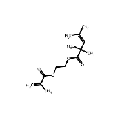 C=C(C)C(=O)OCCOC(=O)C(C)(C)C=C(C)C